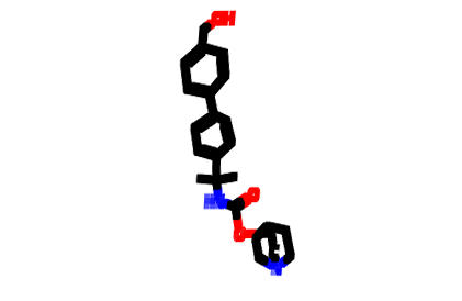 CC(C)(NC(=O)OC1CN2CCC1CC2)c1ccc(-c2ccc(CO)cc2)cc1